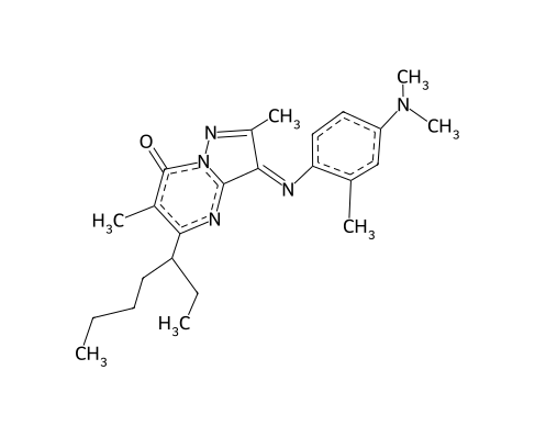 CCCCC(CC)c1nc2n(c(=O)c1C)N=C(C)C2=Nc1ccc(N(C)C)cc1C